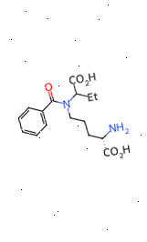 CCC(C(=O)O)N(CCC[C@H](N)C(=O)O)C(=O)c1ccccc1